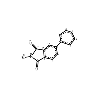 O=C1c2ccc(-c3ccccc3)cc2C(=O)N1Br